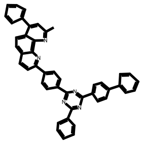 Cc1cc(-c2ccccc2)c2ccc3ccc(-c4ccc(-c5nc(-c6ccccc6)nc(-c6ccc(-c7ccccc7)cc6)n5)cc4)nc3c2n1